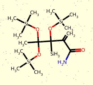 C=C(C(N)=O)C([SiH3])(O[Si](C)(C)C)C(C)(O[Si](C)(C)C)O[Si](C)(C)C